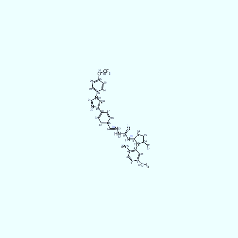 Cc1ccc(C(C)C)c(N2/C(=N/C(=O)N/N=C/c3ccc(-c4ncn(-c5ccc(OC(F)(F)F)cc5)n4)cc3)SCC2F)c1